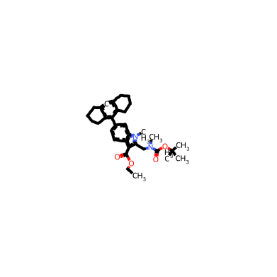 CCOC(=O)c1c(CN(C)C(=O)OC(C)(C)C)n(C)c2cc(-c3c4c(cc5c3CCCC5)CCCC4)ccc12